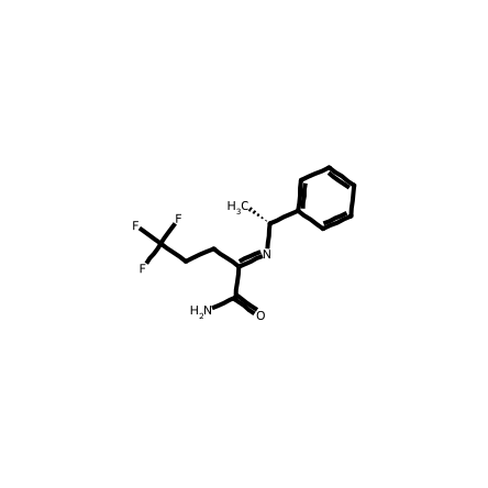 C[C@@H](/N=C(\CCC(F)(F)F)C(N)=O)c1ccccc1